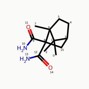 CC1(C)C2CCC1(C)C(C(N)=O)(C(N)=O)C2